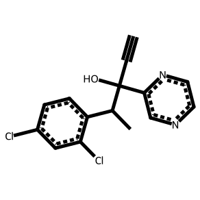 C#CC(O)(c1cnccn1)C(C)c1ccc(Cl)cc1Cl